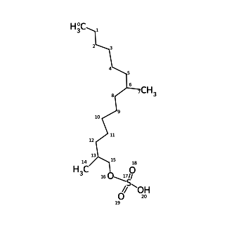 CCCCCCC(C)CCCCCC(C)COS(=O)(=O)O